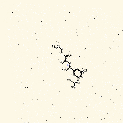 CCOC(=O)C(=O)/C=C(\O)c1cc(Cl)cc(OC(F)F)c1